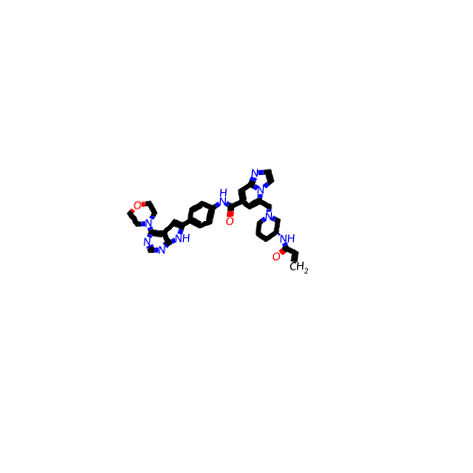 C=CC(=O)N[C@@H]1CCCN(Cc2cc(C(=O)Nc3ccc(-c4cc5c(N6CCOCC6)ncnc5[nH]4)cc3)cc3nccn23)C1